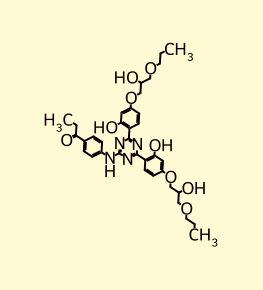 CCCOCC(O)COc1ccc(-c2nc(Nc3ccc(C(=O)CC)cc3)nc(-c3ccc(OCC(O)COCCC)cc3O)n2)c(O)c1